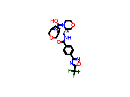 O=C(NC[C@H]1COCCN1C(O)N1C2CCC1COC2)c1ccc(-c2noc(C(F)(F)F)n2)cc1